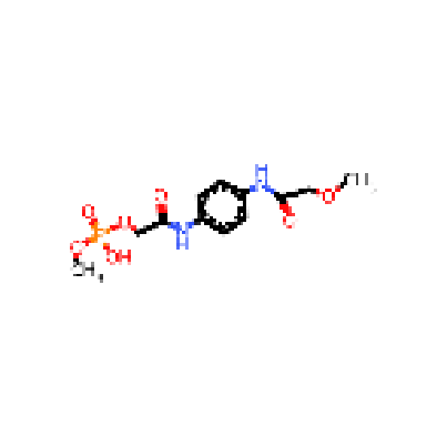 COCC(=O)Nc1ccc(NC(=O)COP(=O)(O)OC)cc1